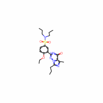 CCCc1nc(C)c2c(=O)[nH]c(-c3cc(S(=O)(=O)N(CCC)CCC)ccc3OCC)nn12